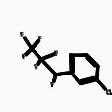 FC(c1cccc(Cl)c1)C(F)(F)C(F)(F)F